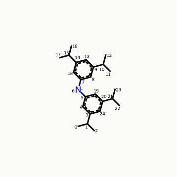 CC(C)c1cc([N]c2cc(C(C)C)cc(C(C)C)c2)cc(C(C)C)c1